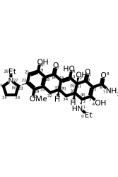 CCN[C@H]1C(O)=C(C(N)=O)C(=O)[C@@]2(O)C(O)=C3C(=O)c4c(O)cc([C@@H]5CCCN5CC)c(OC)c4C[C@H]3C[C@@H]12